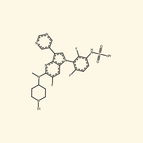 CCCS(=O)(=O)Nc1ccc(F)c(-n2cc(-c3cncnc3)c3nc(N(C)C4CCN(CC)CC4)c(F)cc32)c1F